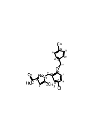 Cc1cc(C(=O)O)nn1Cc1cc(Cl)ccc1OCc1ccc(F)cc1